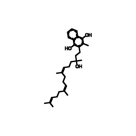 CC(C)=CCCC(C)=CCCC(C)=CCCC(C)(O)CCc1c(C)c(O)c2ccccc2c1O